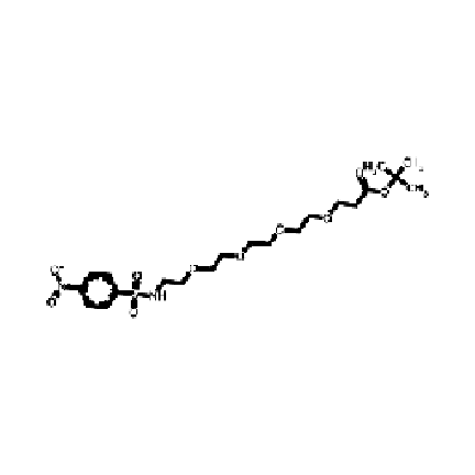 CC(C)(C)OC(=O)CCOCCOCCOCCOCCNS(=O)(=O)c1ccc([N+](=O)[O-])cc1